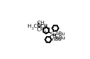 CCCC[B-](CCCC)(CCCC)[Si](c1ccccc1)(c1ccccc1)c1ccccc1.C[N+](C)(C)C